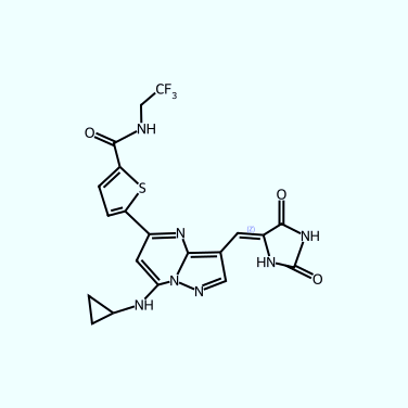 O=C1NC(=O)/C(=C/c2cnn3c(NC4CC4)cc(-c4ccc(C(=O)NCC(F)(F)F)s4)nc23)N1